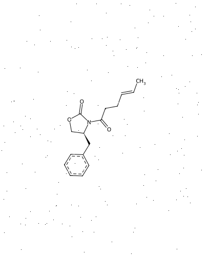 C/C=C/CCC(=O)N1C(=O)OC[C@@H]1Cc1ccccc1